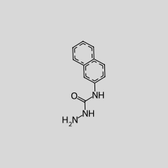 NNC(=O)Nc1ccc2ccccc2c1